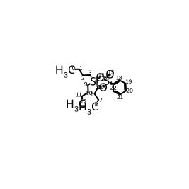 CCCC[Si](CCCC)(CCCC)OS(=O)(=O)c1ccccc1